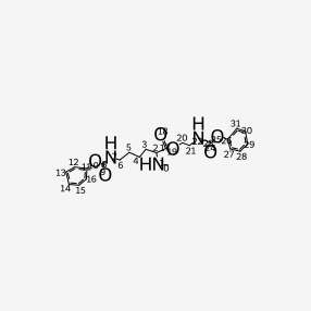 CNC(CCCCNC(=O)Oc1ccccc1)C(=O)OCCNC(=O)Oc1ccccc1